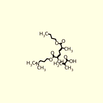 C=C(C)C(=O)O.CCCCOC(=O)C(C)=CC=C(C)C(=O)OCCCN(C)C